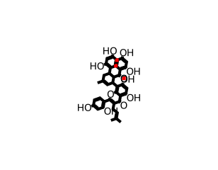 CC(C)=CCc1c(-c2ccc(O)cc2O)oc2c(C3C=C(C)CC(c4ccc(O)cc4O)C3C(=O)c3ccc(O)cc3O)c(O)cc(O)c2c1=O